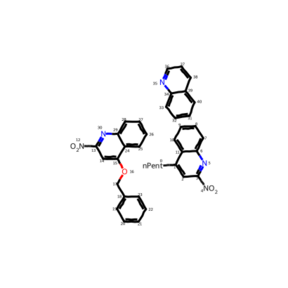 CCCCCc1cc([N+](=O)[O-])nc2ccccc12.O=[N+]([O-])c1cc(OCc2ccccc2)c2ccccc2n1.c1ccc2ncccc2c1